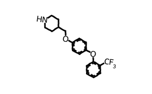 FC(F)(F)c1ccccc1Oc1ccc(OCC2CCNCC2)cc1